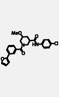 COC1CC(C(=O)Nc2ccc(Cl)cc2)CN(C(=O)c2cccc(-c3ccco3)c2)C1